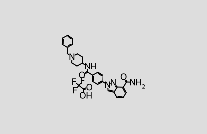 NC(=O)c1cccc2cn(-c3ccc(C(=O)NC4CCN(Cc5ccccc5)CC4)cc3)nc12.O=C(O)C(F)(F)F